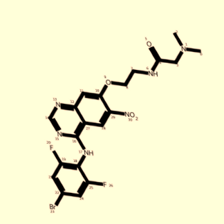 CN(C)CC(=O)NCCOc1cc2ncnc(Nc3c(F)cc(Br)cc3F)c2cc1[N+](=O)[O-]